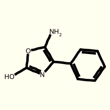 Nc1oc(O)nc1-c1ccccc1